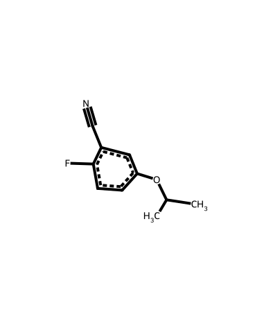 CC(C)Oc1ccc(F)c(C#N)c1